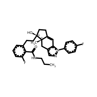 CCCNC(=O)c1c(F)cccc1CC[C@]1(O)CCC2=Cc3c(cnn3-c3ccc(F)cc3)C[C@@]21C